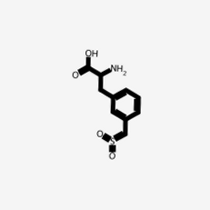 NC(Cc1cccc(C=S(=O)=O)c1)C(=O)O